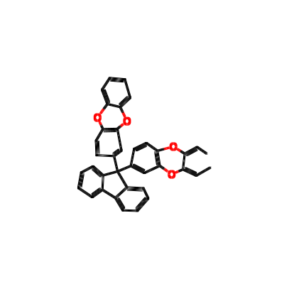 C/C=C1/Oc2ccc(C3(c4ccc5c(c4)Oc4ccccc4O5)c4ccccc4-c4ccccc43)cc2O/C1=C/C